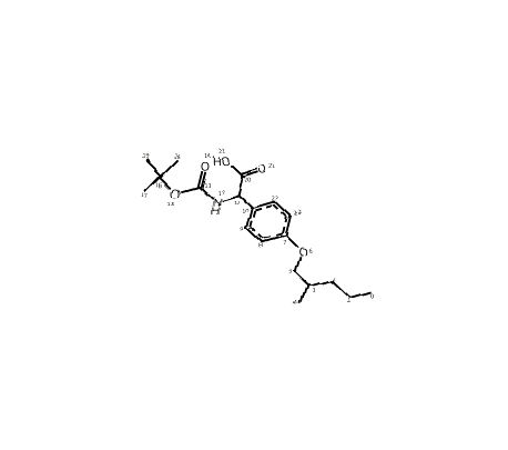 CCCC(C)COc1ccc(C(NC(=O)OC(C)(C)C)C(=O)O)cc1